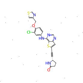 O=C1CC[C@@H](C#Cc2cc3ncnc(Nc4ccc(OCc5cscn5)c(Cl)c4)c3s2)N1